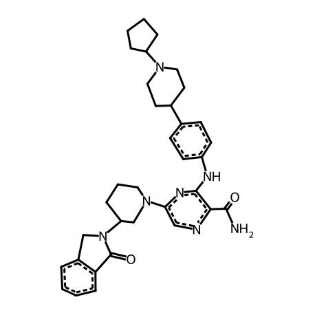 NC(=O)c1ncc(N2CCCC(N3Cc4ccccc4C3=O)C2)nc1Nc1ccc(C2CCN(C3CCCC3)CC2)cc1